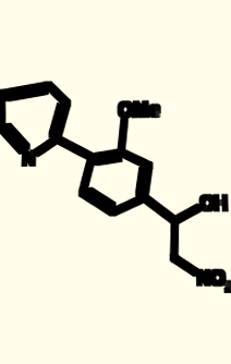 COc1cc(C(O)C[N+](=O)[O-])ccc1-c1ccccn1